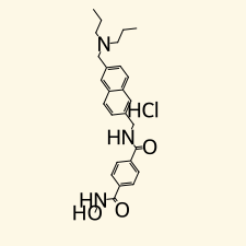 CCCN(CCC)Cc1ccc2cc(CNC(=O)c3ccc(C(=O)NO)cc3)ccc2c1.Cl